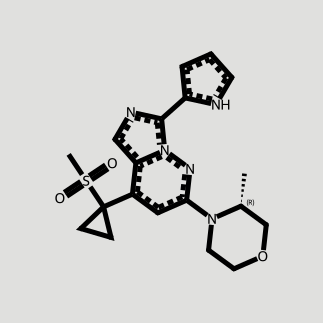 C[C@@H]1COCCN1c1cc(C2(S(C)(=O)=O)CC2)c2cnc(-c3ccc[nH]3)n2n1